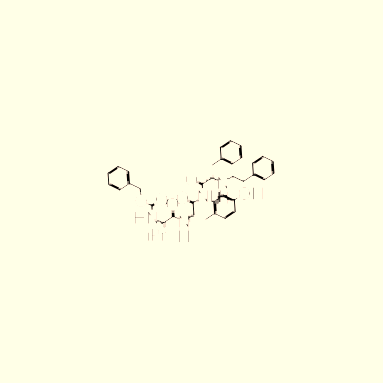 CC(C)[C@H](NC(=O)OCc1ccccc1)C(=O)N[C@@H](Cc1ccc(O)cc1)C(=O)NC(=O)[C@H](Cc1ccccc1)NCCc1ccccc1